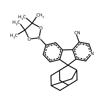 CC1(C)OB(c2ccc3c(c2)-c2c(C#N)cncc2C32C3CC4CC(C3)CC2C4)OC1(C)C